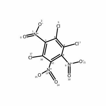 O=[N+]([O-])c1c(Cl)c(Cl)c([N+](=O)[O-])c([N+](=O)[O-])c1Cl